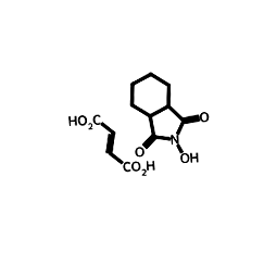 O=C(O)C=CC(=O)O.O=C1C2CCCCC2C(=O)N1O